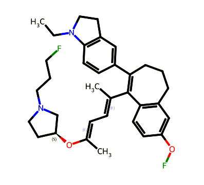 CCN1CCc2cc(C3=C(/C(C)=C/C=C(\C)O[C@H]4CCN(CCCF)C4)c4ccc(OF)cc4CCC3)ccc21